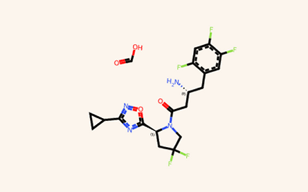 N[C@@H](CC(=O)N1CC(F)(F)C[C@H]1c1nc(C2CC2)no1)Cc1cc(F)c(F)cc1F.O=CO